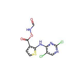 O=CNOC(=O)c1ccsc1Nc1nc(Cl)ncc1Cl